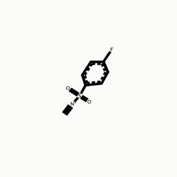 C#[N+]S(=O)(=O)c1ccc(F)cc1